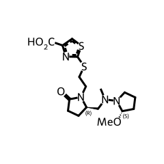 CO[C@H]1CCCN1N(C)C[C@H]1CCC(=O)N1CCSc1nc(C(=O)O)cs1